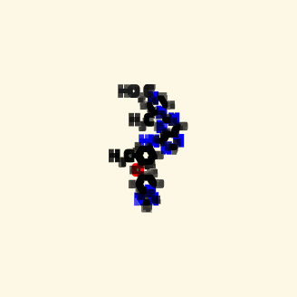 Cc1cc(Nc2ncnc3cnc(N4CCN(C(=O)O)C[C@@H]4C)nc23)ccc1Oc1ccn2ncnc2c1